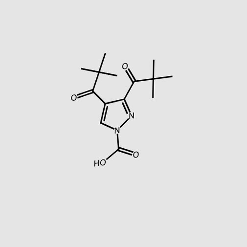 CC(C)(C)C(=O)c1cn(C(=O)O)nc1C(=O)C(C)(C)C